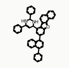 C1=C(c2ccccc2)NC(c2ccccc2)NC1c1cc(-c2ccc(-c3ccccc3)c3ccccc23)cc2oc3c4ccccc4ccc3c12